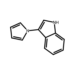 c1ccc2c(-n3cccc3)c[nH]c2c1